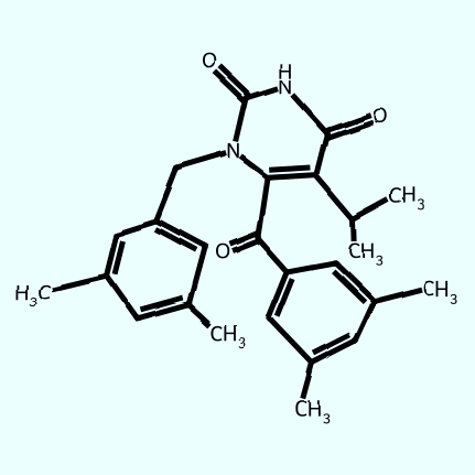 Cc1cc(C)cc(Cn2c(C(=O)c3cc(C)cc(C)c3)c(C(C)C)c(=O)[nH]c2=O)c1